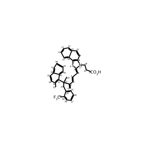 C=C(/C=C/C=C1\Sc2c(ccc3ccccc23)N1CCC(=O)O)C(C)(Cc1ccccc1C(F)(F)F)c1c(C)ccc2ccccc12